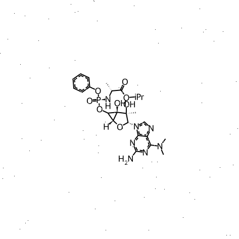 CC(C)OC(=O)[C@@H](C)N[P@@](=O)(Oc1ccccc1)OC1[C@H]2O[C@@H](n3cnc4c(N(C)C)nc(N)nc43)[C@](C)(O)[C@@]12O